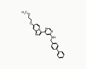 COCCOc1ccn2c(-c3cc(NCc4ccc(-c5ccccc5)cc4)ncn3)cnc2c1